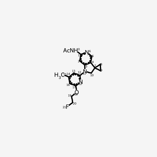 CC(=O)Nc1cc2c(cn1)C1(CC1)CN2c1cc(C)cc(OCCF)n1